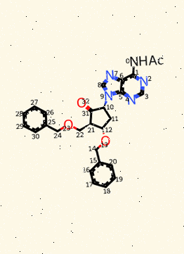 CC(=O)Nc1ncnc2c1ncn2[C@H]1C[C@H](OCc2ccccc2)[C@@H](COCc2ccccc2)C1=O